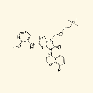 COc1ncccc1Nc1ncc2c(n1)n([C@@H]1CCOc3c(F)cccc31)c(=O)n2COCC[Si](C)(C)C